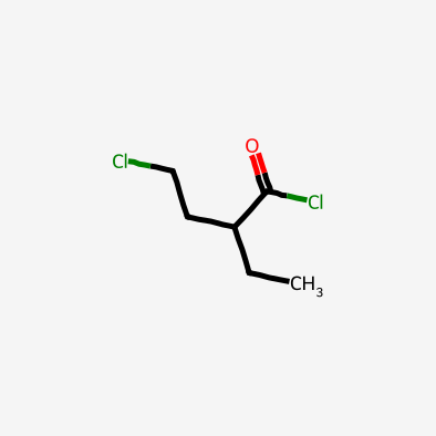 CCC(CCCl)C(=O)Cl